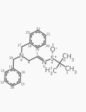 CC(C)(C)[S@@+]([O-])/N=C/CN(Cc1ccccc1)Cc1ccccc1